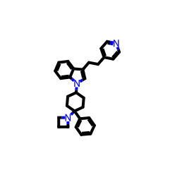 c1ccc(C2(N3CCC3)CCC(n3cc(CCc4ccncc4)c4ccccc43)CC2)cc1